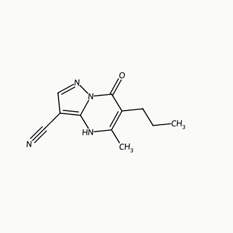 CCCc1c(C)[nH]c2c(C#N)cnn2c1=O